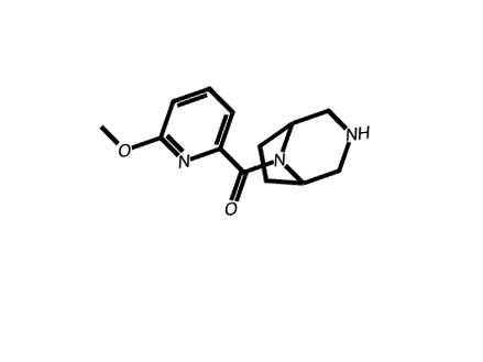 COc1cccc(C(=O)N2C3CCC2CNC3)n1